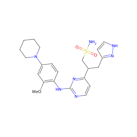 COc1cc(N2CCCCC2)ccc1Nc1nccc(C(Cc2cc[nH]n2)CS(N)(=O)=O)n1